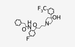 O=C(Cc1ccccc1)Nc1cc(F)ccc1C(=O)CCCN1CCC(O)(c2cccc(C(F)(F)F)c2)CC1